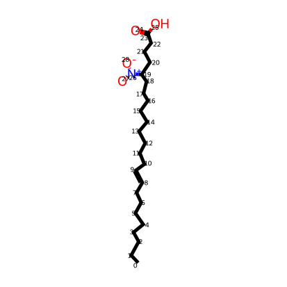 CCCCCCCCC=CCCCCCCCCCC(CCCC(=O)O)[N+](=O)[O-]